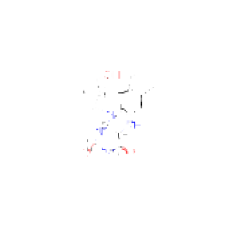 Cc1cc2c(cc1C)N(CC(C)(C)CO)C1=NC(=O)NC(=O)C1N2